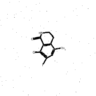 Cc1cc(I)c(Cl)c2c1CCNC2=O